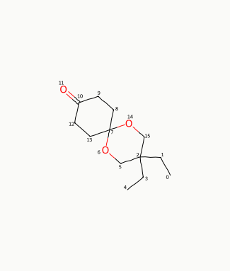 CCC1(CC)COC2(CCC(=O)CC2)OC1